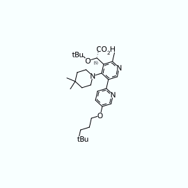 Cc1ncc(-c2ccc(OCCCC(C)(C)C)cn2)c(N2CCC(C)(C)CC2)c1[C@H](OC(C)(C)C)C(=O)O